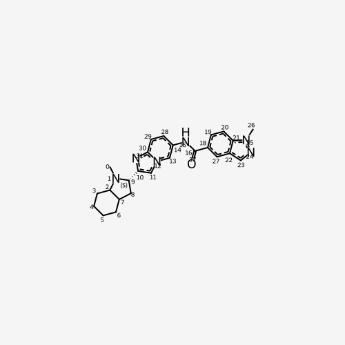 CN1C2CCCCC2C[C@H]1c1cn2cc(NC(=O)c3ccc4c(cnn4C)c3)ccc2n1